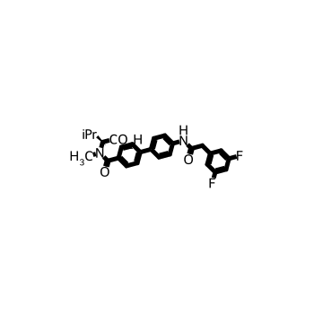 CC(C)[C@@H](C(=O)O)N(C)C(=O)c1ccc(-c2ccc(NC(=O)Cc3cc(F)cc(F)c3)cc2)cc1